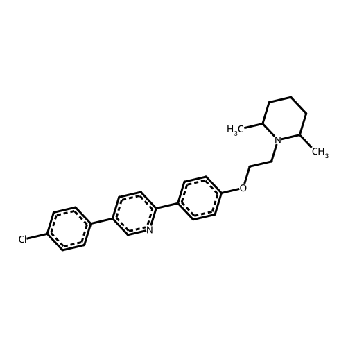 CC1CCCC(C)N1CCOc1ccc(-c2ccc(-c3ccc(Cl)cc3)cn2)cc1